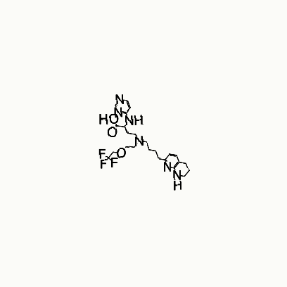 O=C(O)[C@H](CCN(CCCCc1ccc2c(n1)NCCC2)CCOCC(F)(F)F)Nc1ccncn1